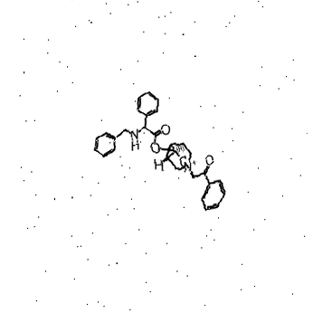 O=C(C[N+]12CCC(CC1)[C@@H](OC(=O)C(NCc1ccccc1)c1ccccc1)C2)c1ccccc1